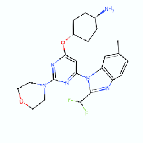 Cc1ccc2nc(C(F)F)n(-c3cc(O[C@H]4CC[C@H](N)CC4)nc(N4CCOCC4)n3)c2c1